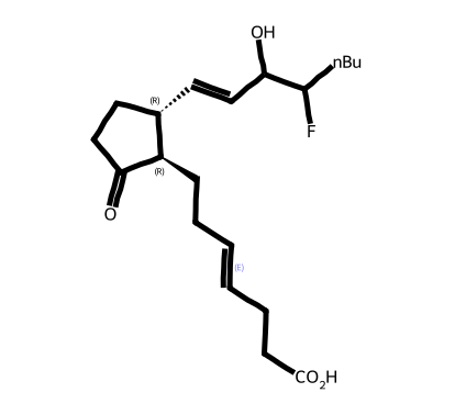 CCCCC(F)C(O)C=C[C@H]1CCC(=O)[C@@H]1CC/C=C/CCC(=O)O